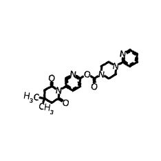 CC1(C)CC(=O)N(c2ccc(OC(=O)N3CCN(c4ccccn4)CC3)nc2)C(=O)C1